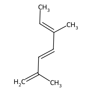 C=C(C)C=CC(C)=CC